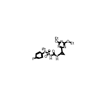 CCOc1nc(OCC)nc(C2CC2NC(=O)NS(=O)(=O)N(c2ccc(F)cc2)C(C)C)n1